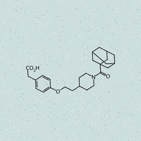 O=C(O)Cc1ccc(OCCC2CCN(C(=O)C34CC5CC(CC(C5)C3)C4)CC2)cc1